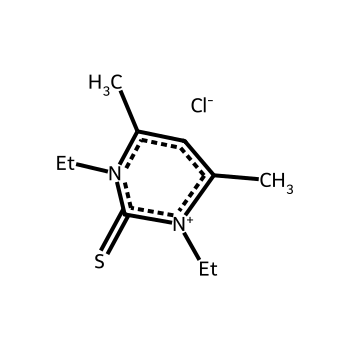 CCn1c(C)cc(C)[n+](CC)c1=S.[Cl-]